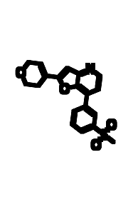 CS(=O)(=O)c1cccc(-c2ccnc3cc(C4=CCOCC4)oc23)c1